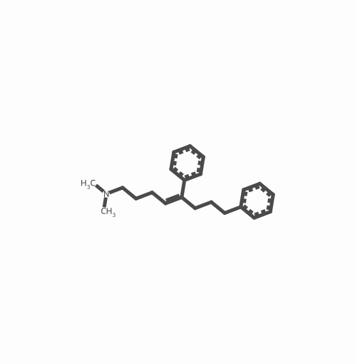 CN(C)CCCC=C(CCCc1ccccc1)c1ccccc1